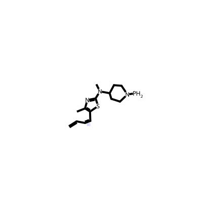 C=C/C=C\c1sc(N(C)C2CCN(P)CC2)nc1C